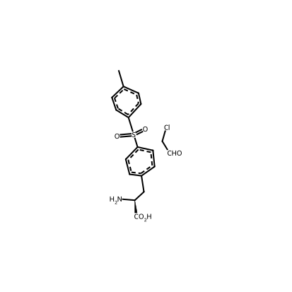 Cc1ccc(S(=O)(=O)c2ccc(C[C@H](N)C(=O)O)cc2)cc1.O=CCCl